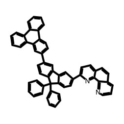 c1ccc(C2(c3ccccc3)c3ccc(-c4ccc5c6ccccc6c6ccccc6c5c4)cc3-c3cc(-c4ccc5ccc6cccnc6c5n4)ccc32)cc1